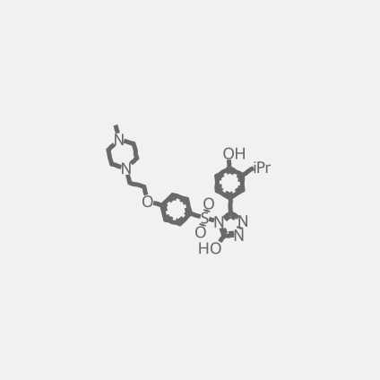 CC(C)c1cc(-c2nnc(O)n2S(=O)(=O)c2ccc(OCCN3CCN(C)CC3)cc2)ccc1O